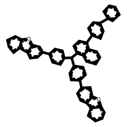 c1ccc(-c2ccc(-c3ccc(C(c4ccc(-c5ccc6c(c5)oc5ccccc56)cc4)c4ccc(-c5ccc6c(c5)oc5ccccc56)cc4)c4ccccc34)cc2)cc1